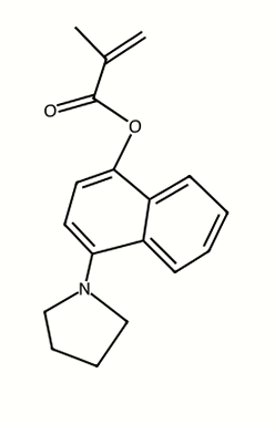 C=C(C)C(=O)Oc1ccc(N2CCCC2)c2ccccc12